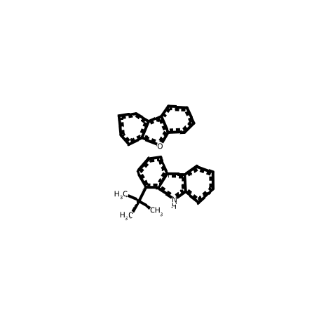 CC(C)(C)c1cccc2c1[nH]c1ccccc12.c1ccc2c(c1)oc1ccccc12